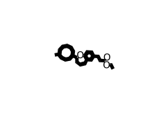 CCOC(=O)CCc1ccc2c(c1)C=CCC(c1cccccc(C)ccc1)O2